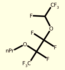 CCCOC(F)(C(F)(F)F)C(F)(F)OC(F)C(F)(F)F